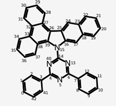 c1ccc(-c2nc(-c3ccccc3)nc(-n3c4cc5ccccc5cc4c4c5ccccc5c5ccccc5c43)n2)cc1